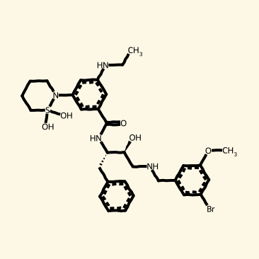 CCNc1cc(C(=O)N[C@@H](Cc2ccccc2)[C@@H](O)CNCc2cc(Br)cc(OC)c2)cc(N2CCCCS2(O)O)c1